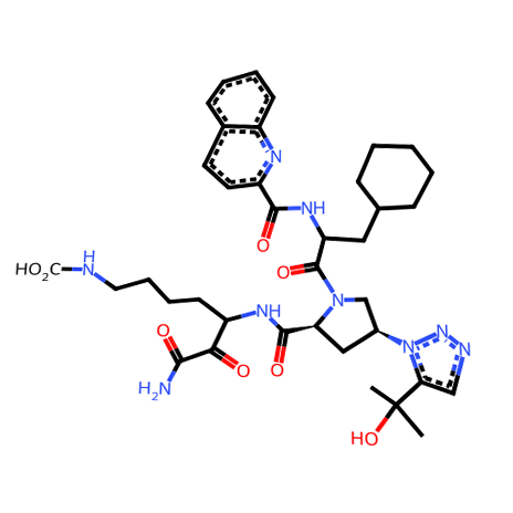 CC(C)(O)c1cnnn1[C@H]1C[C@@H](C(=O)NC(CCCCNC(=O)O)C(=O)C(N)=O)N(C(=O)C(CC2CCCCC2)NC(=O)c2ccc3ccccc3n2)C1